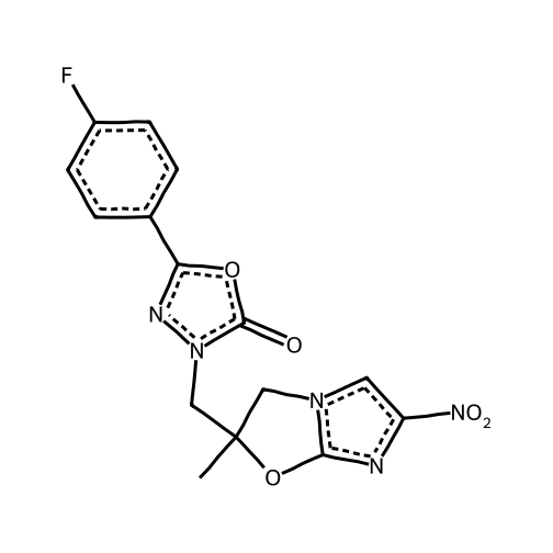 CC1(Cn2nc(-c3ccc(F)cc3)oc2=O)Cn2cc([N+](=O)[O-])nc2O1